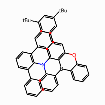 CC(C)(C)c1cc(-c2cc3c4c(c2)N(c2c(-c5ccccc5)cccc2-c2ccccc2)c2ccccc2B4c2ccccc2O3)cc(C(C)(C)C)c1